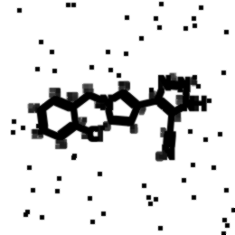 N#Cc1[nH]nnc1-c1ccn(Cc2ccccc2Cl)c1